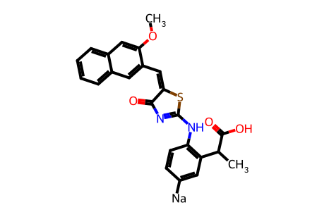 COc1cc2ccccc2cc1C=C1SC(Nc2cc[c]([Na])cc2C(C)C(=O)O)=NC1=O